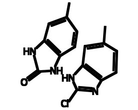 Cc1ccc2[nH]c(=O)[nH]c2c1.Cc1ccc2nc(Cl)[nH]c2c1